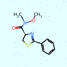 CON(C)C(=O)[C@@H]1CSC(c2ccccc2)=N1